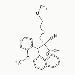 COCCOC[C@](C#N)(C(=O)O)C(c1ccccc1OC)c1cccc2ccccc12